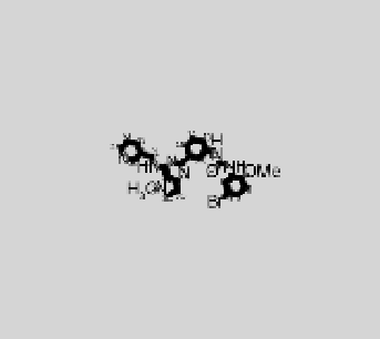 COc1ccc(Br)cc1NC(=O)Nc1cccc(-c2nc(NCc3cccnc3)c3c(ccn3C)n2)c1